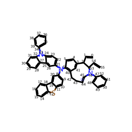 C=CC1c2ccc(N(c3ccc4sc5ccccc5c4c3)c3ccc4c(c3)c3ccccc3n4-c3ccccc3)c(c2)CC/C=C/N(c2ccccc2)C1C=C